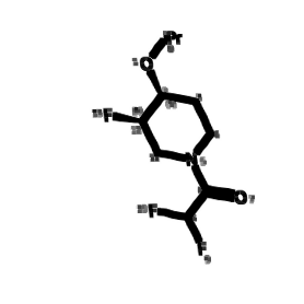 CC(C)O[C@H]1CCN(C(=O)C(F)F)C[C@H]1F